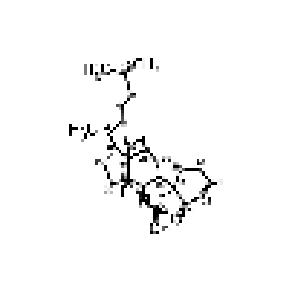 CC(C)CCC[C@@H](C)[C@H]1CC[C@H]2[C@H](CC=O)[C@@H]([C@@]3(C)CCC=CC3=O)CC[C@]12C